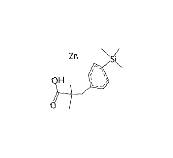 CC(C)(Cc1ccc([Si](C)(C)C)cc1)C(=O)O.[Zn]